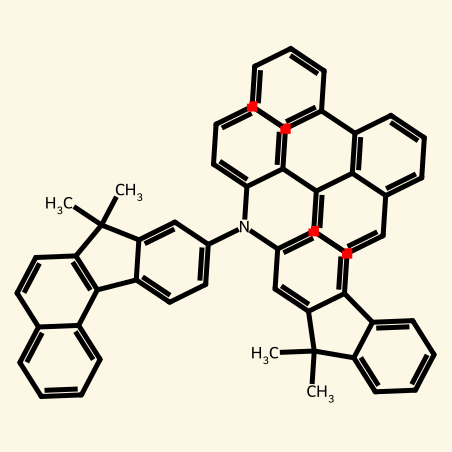 CC1(C)c2ccccc2-c2ccc(N(c3ccc4c(c3)C(C)(C)c3ccc5ccccc5c3-4)c3ccccc3-c3cccc4cccc(-c5ccccc5)c34)cc21